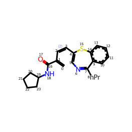 C=C(/C=C\C1=CN=C(CCC)c2ccccc2S1)C(=O)NC1CCCC1